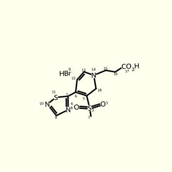 Br.CS(=O)(=O)C1=C(c2ncns2)C=CN(CCC(=O)O)C1